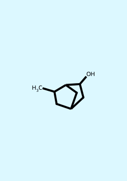 CC1CC2CC(O)C1C2